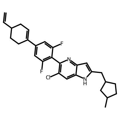 C=CC1CC=C(c2cc(F)c(-c3nc4cc(CC5CCC(C)C5)[nH]c4cc3Cl)c(F)c2)CC1